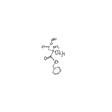 CC(C)(C)OC(=O)CC(N)(C(=O)O)C(=O)OCc1ccccc1